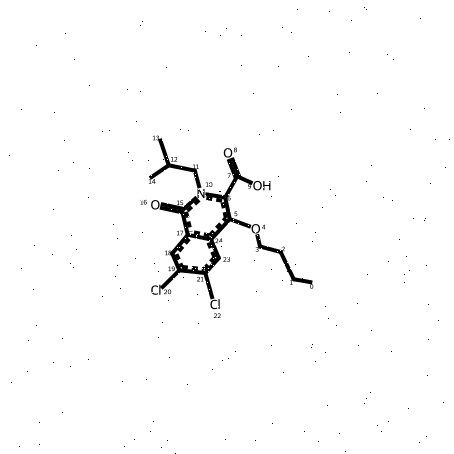 CCCCOc1c(C(=O)O)n(CC(C)C)c(=O)c2cc(Cl)c(Cl)cc12